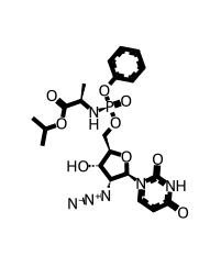 CC(C)OC(=O)[C@@H](C)N[P@@](=O)(OC[C@H]1O[C@@H](n2ccc(=O)[nH]c2=O)[C@H](N=[N+]=[N-])[C@@H]1O)Oc1ccccc1